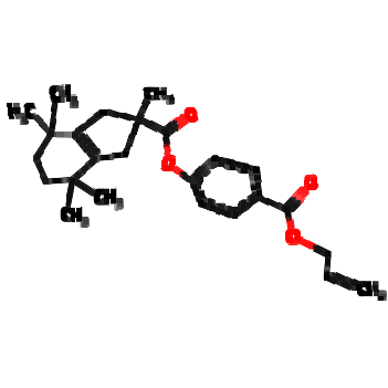 C=CCOC(=O)c1ccc(OC(=O)C2(C)CC3=C(C2)C(C)(C)CCC3(C)C)cc1